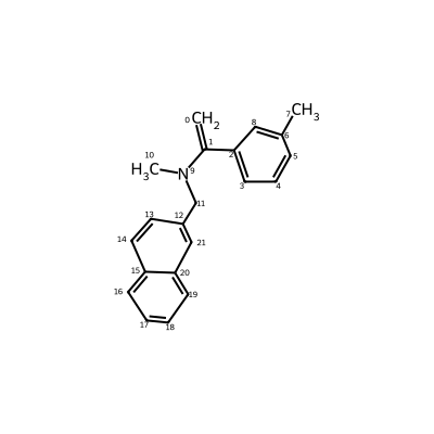 C=C(c1cccc(C)c1)N(C)Cc1ccc2ccccc2c1